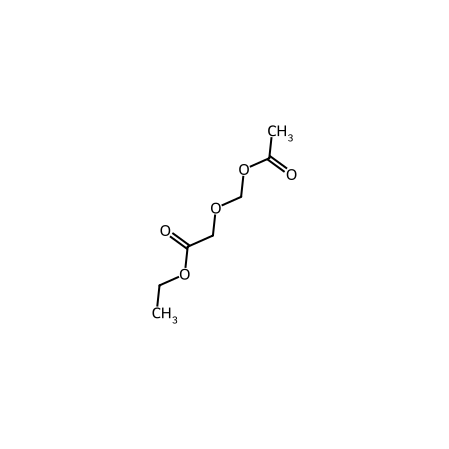 CCOC(=O)COCOC(C)=O